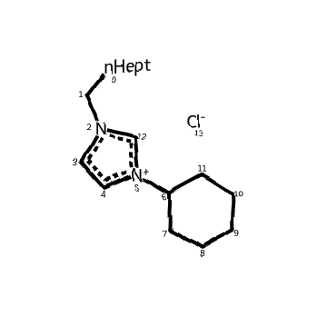 CCCCCCCCn1cc[n+](C2CCCCC2)c1.[Cl-]